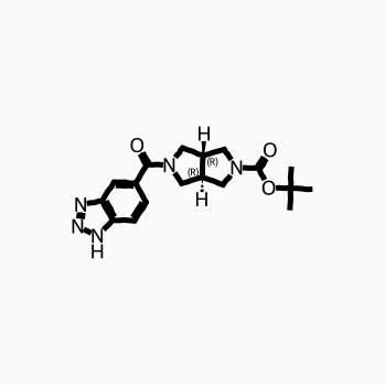 CC(C)(C)OC(=O)N1C[C@H]2CN(C(=O)c3ccc4[nH]nnc4c3)C[C@@H]2C1